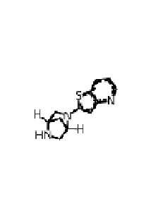 c1cnc2cc(N3C[C@@H]4C[C@H]3CN4)sc2c1